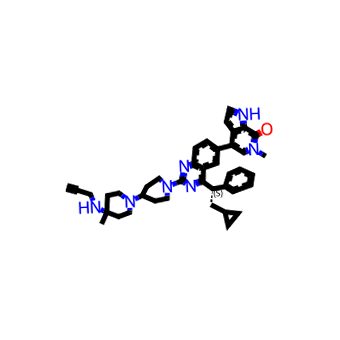 C#CCNC1(C)CCN(C2CCN(c3nc([C@@H](CC4CC4)c4ccccc4)c4cc(-c5cn(C)c(=O)c6[nH]ccc56)ccc4n3)CC2)CC1